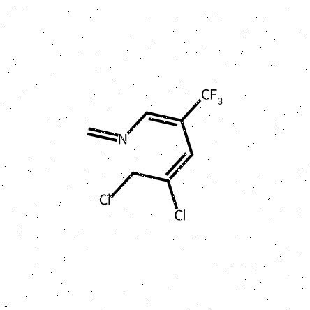 C=N/C=C(\C=C(\Cl)CCl)C(F)(F)F